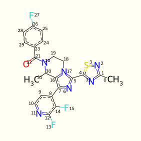 Cc1nsc(-c2nc(-c3ccnc(F)c3F)c3n2CCN(C(=O)c2ccc(F)cc2)C3C)n1